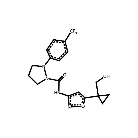 O=C(Nc1cc(C2(CO)CC2)on1)N1CCCN1c1ccc(C(F)(F)F)cc1